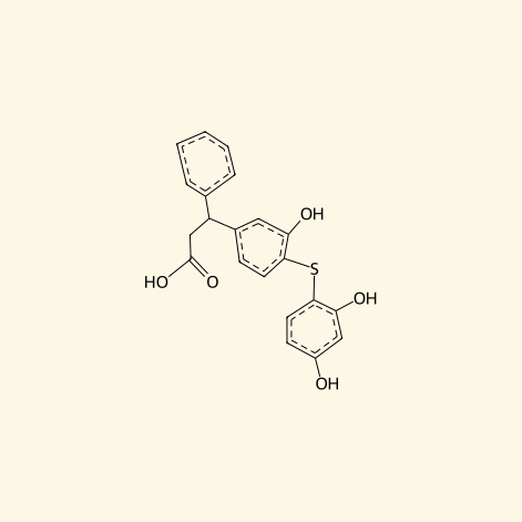 O=C(O)CC(c1ccccc1)c1ccc(Sc2ccc(O)cc2O)c(O)c1